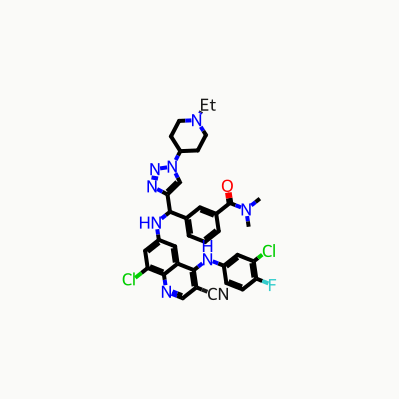 CCN1CCC(n2cc(C(Nc3cc(Cl)c4ncc(C#N)c(Nc5ccc(F)c(Cl)c5)c4c3)c3cccc(C(=O)N(C)C)c3)nn2)CC1